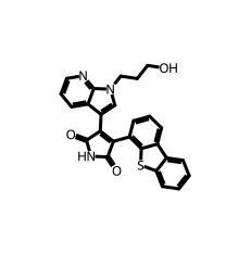 O=C1NC(=O)C(c2cccc3c2sc2ccccc23)=C1c1cn(CCCO)c2ncccc12